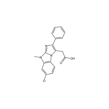 Cn1c2cc(Cl)ccc2n2c(CC(=O)O)c(-c3ccccc3)nc12